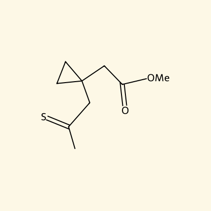 COC(=O)CC1(CC(C)=S)CC1